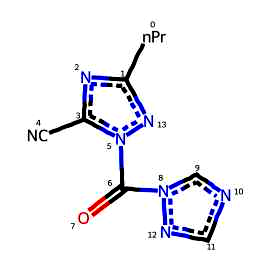 CCCc1nc(C#N)n(C(=O)n2cncn2)n1